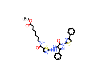 CC(C)(C)OC(=O)CCCCCCNC(=O)c1cnc(N/N=C2/C(=O)N(c3nc(-c4ccccc4)cs3)N=C2c2ccccc2)s1